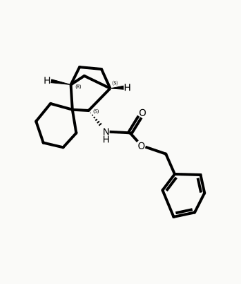 O=C(N[C@H]1[C@H]2CC[C@H](C2)C12CCCCC2)OCc1ccccc1